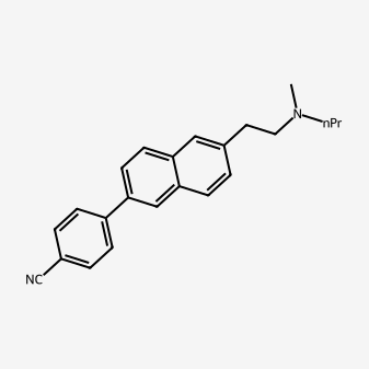 CCCN(C)CCc1ccc2cc(-c3ccc(C#N)cc3)ccc2c1